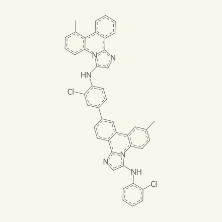 Cc1ccc2c(c1)c1cc(-c3ccc(Nc4cnc5c6ccccc6c6c(C)cccc6n45)c(Cl)c3)ccc1c1ncc(Nc3ccccc3Cl)n21